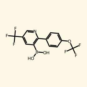 OB(O)c1cc(C(F)(F)F)cnc1-c1ccc(OC(F)(F)F)cc1